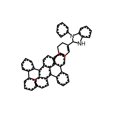 C1=C(c2ccc3c(-c4ccccc4-c4ccccc4)c4ccccc4c(-c4ccccc4-c4ccccc4)c3c2)CCC(C2Nc3ccccc3N2c2ccccc2)=C1